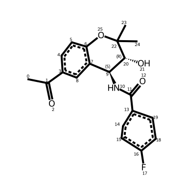 CC(=O)c1ccc2c(c1)[C@H](NC(=O)c1ccc(F)cc1)[C@@H](O)C(C)(C)O2